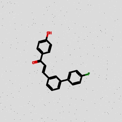 O=C(/C=C/c1cccc(-c2ccc(F)cc2)c1)c1ccc(O)cc1